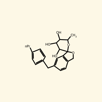 CCCc1ccc(Cc2ccc3c(c2)C2(OC3)OC(C)C(O)C(O)C2O)cc1